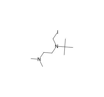 CN(C)CCN(CI)C(C)(C)C